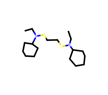 CCN(SCCSN(CC)C1CCCCC1)C1CCCCC1